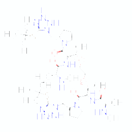 CN[C@@H](C)C(=O)N[C@H](C(=O)N1CCC[C@H]1CN1NNN=C1SC(C)(C)C)[C@@H](C)OCCO[C@H](C)[C@H](NC(=O)[C@H](C)NC)C(=O)N1CCC[C@H]1CN1NNN=C1SC(C)(C)C